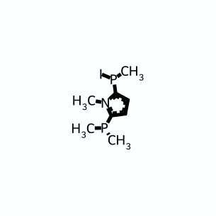 Cn1c(P(C)C)ccc1P(C)I